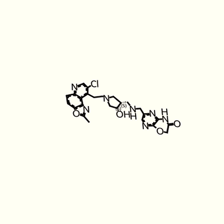 Cc1nc2c(ccc3ncc(Cl)c(CCN4C[C@H](CNCc5cnc6c(n5)NC(=O)CO6)[C@H](O)C4)c32)o1